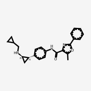 Cc1oc(-c2ccccc2)nc1C(=O)Nc1ccc([C@@H]2C[C@H]2NCC2CC2)cc1